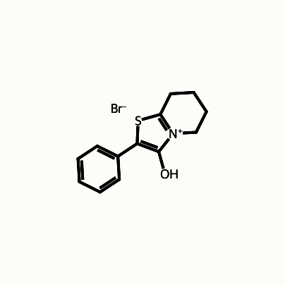 Oc1c(-c2ccccc2)sc2[n+]1CCCC2.[Br-]